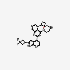 FC1(F)CC(c2cc3c(-c4nc(N5CCNCC5)c5c(C6CCC6)cncc5n4)ccnc3[nH]2)C1